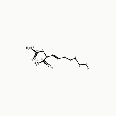 CCCCCC/C=C/C(CC(N)=O)C(N)=O